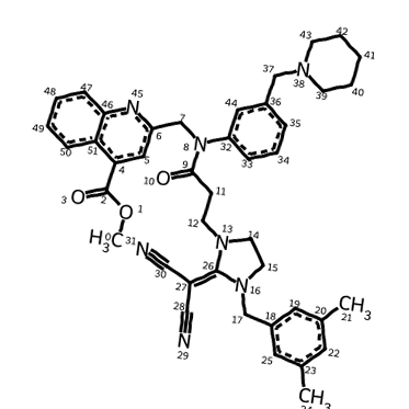 COC(=O)c1cc(CN(C(=O)CCN2CCN(Cc3cc(C)cc(C)c3)C2=C(C#N)C#N)c2cccc(CN3CCCCC3)c2)nc2ccccc12